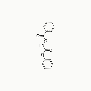 O=C(NOC(=O)c1ccccc1)Oc1ccccc1